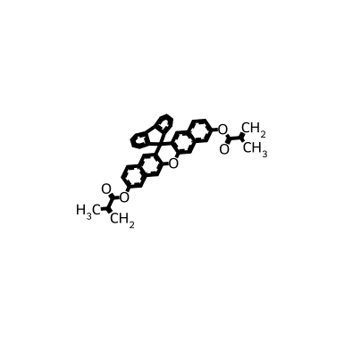 C=C(C)C(=O)Oc1ccc2cc3c(cc2c1)Oc1cc2cc(OC(=O)C(=C)C)ccc2cc1C31c2ccccc2-c2ccccc21